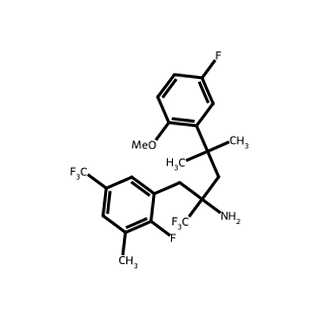 COc1ccc(F)cc1C(C)(C)CC(N)(Cc1cc(C(F)(F)F)cc(C)c1F)C(F)(F)F